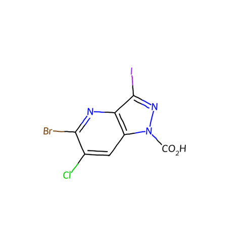 O=C(O)n1nc(I)c2nc(Br)c(Cl)cc21